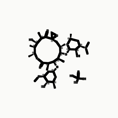 CO[C@H]1C[C@H](O[C@H]2[C@H](C)[C@@H](O[C@@H]3O[C@H](C)C[C@H](N(C)C)[C@H]3O)[C@@H](C)C[C@]3(CO3)C(=O)[C@H](C)[C@@H](O)[C@@H](C)[C@@H](C)OC(=O)[C@@H]2C)O[C@@H](C)[C@@H]1O.O=P(O)(O)O